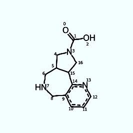 O=C(O)N1CC2CNCc3cccnc3C2C1